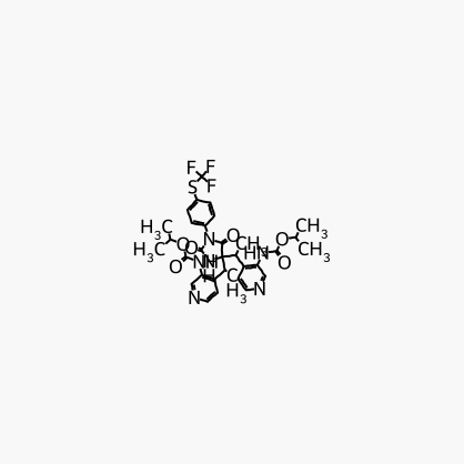 CC(C)OC(=O)Nc1cnccc1C(C)C1(C(C)c2ccncc2NC(=O)OC(C)C)NC(=O)N(c2ccc(SC(F)(F)F)cc2)C1=O